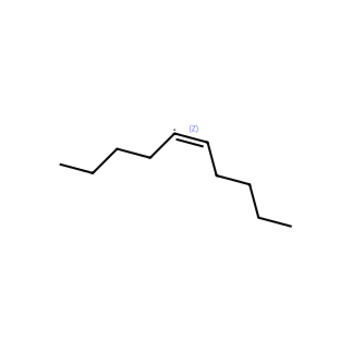 CCCC/[C]=C\CCCC